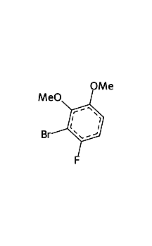 COc1ccc(F)c(Br)c1OC